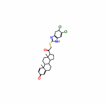 CC12C=CC(=O)C=C1CCC1C2CCC2(C)C(C(=O)CSc3nc4c([nH]3)C=C(Cl)C(Cl)C4)CCC12